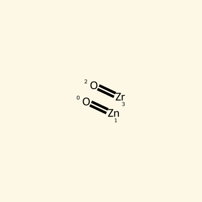 [O]=[Zn].[O]=[Zr]